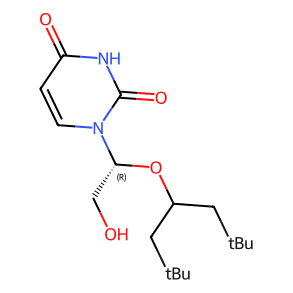 CC(C)(C)CC(CC(C)(C)C)O[C@H](CO)n1ccc(=O)[nH]c1=O